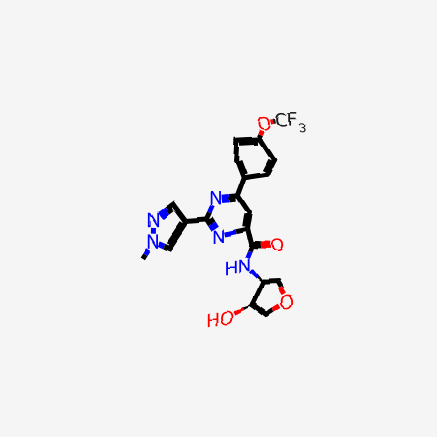 Cn1cc(-c2nc(C(=O)N[C@H]3COC[C@H]3O)cc(-c3ccc(OC(F)(F)F)cc3)n2)cn1